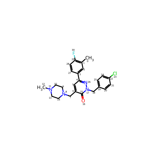 Cc1cc(-c2cc(CN3CCN(C)CC3)c(=O)n(Cc3ccc(Cl)cc3)n2)ccc1F